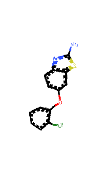 Nc1nc2ccc(Oc3ccccc3Cl)cc2s1